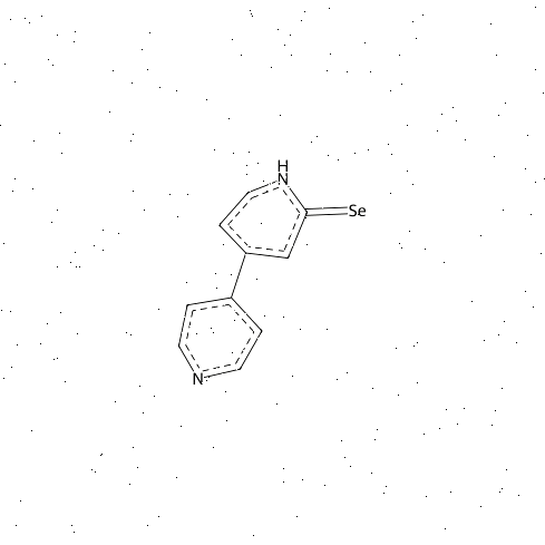 [Se]=c1cc(-c2ccncc2)cc[nH]1